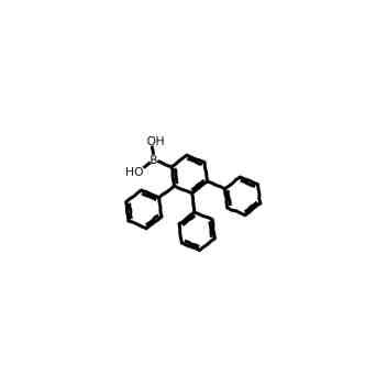 OB(O)c1ccc(-c2ccccc2)c(-c2ccccc2)c1-c1ccccc1